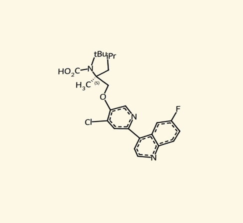 CC(C)C[C@@](C)(COc1cnc(-c2ccnc3ccc(F)cc23)cc1Cl)N(C(=O)O)C(C)(C)C